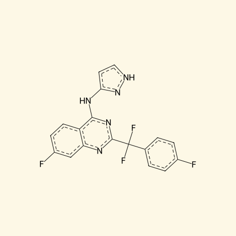 Fc1ccc(C(F)(F)c2nc(Nc3cc[nH]n3)c3ccc(F)cc3n2)cc1